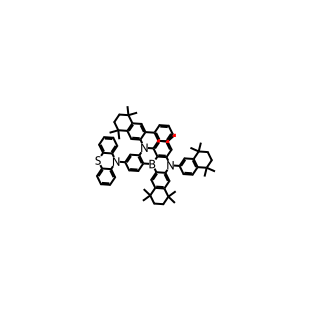 Cc1cc2c3c(c1)N(c1cc4c(cc1-c1ccccc1)C(C)(C)CCC4(C)C)c1cc(N4c5ccccc5Sc5ccccc54)ccc1B3c1cc3c(cc1N2c1ccc2c(c1)C(C)(C)CCC2(C)C)C(C)(C)CCC3(C)C